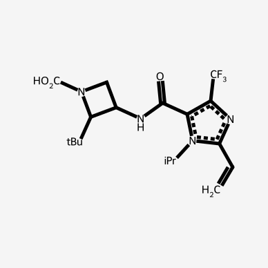 C=Cc1nc(C(F)(F)F)c(C(=O)NC2CN(C(=O)O)C2C(C)(C)C)n1C(C)C